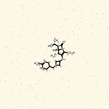 C[C@@H](O)[C@H]1C(=O)N2C(C(=O)O)=C(SC3CN(CC4CN=C(N)NC4)C3)[C@H](C)[C@H]12